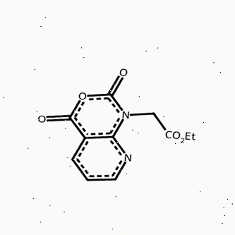 CCOC(=O)Cn1c(=O)oc(=O)c2cccnc21